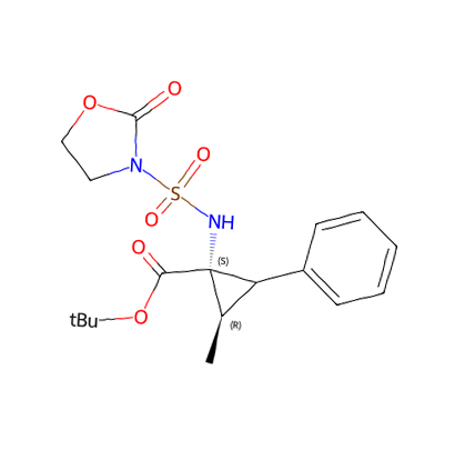 C[C@@H]1C(c2ccccc2)[C@]1(NS(=O)(=O)N1CCOC1=O)C(=O)OC(C)(C)C